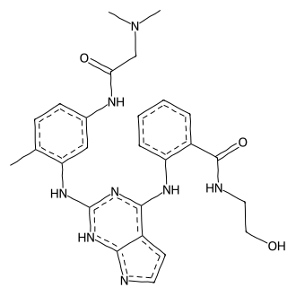 Cc1ccc(NC(=O)CN(C)C)cc1Nc1nc(Nc2ccccc2C(=O)NCCO)c2ccnc-2[nH]1